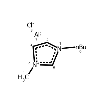 CCCCn1cc[n+](C)c1.[Al].[Cl-]